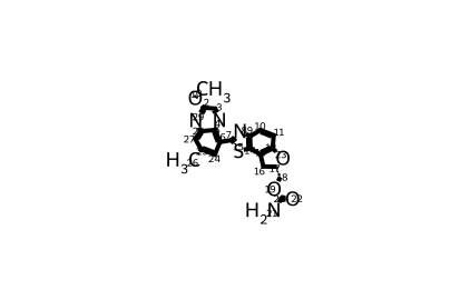 COc1cnc2c(-c3nc4ccc5c(c4s3)C[C@@H](COC(N)=O)O5)cc(C)cc2n1